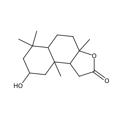 CC1(C)CC(O)CC2(C)C1CCC1(C)OC(=O)CC12